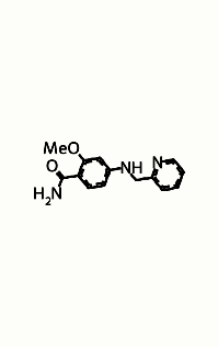 COc1cc(NCc2ccccn2)ccc1C(N)=O